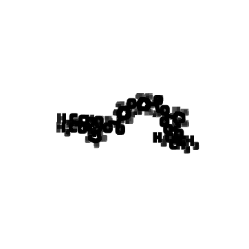 CC(C)(C)OC(=O)N1CCCC1C(=O)OCC(=O)c1ccc(Oc2ccc(C(=O)COC(=O)C3CCCN3C(=O)OC(C)(C)C)cc2)cc1